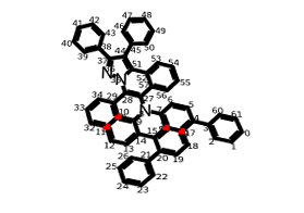 c1ccc(-c2ccc(N(c3ccccc3-c3ccccc3-c3ccccc3)c3c(-c4ccccc4)n4nc(-c5ccccc5)c(-c5ccccc5)c4c4ccccc34)cc2)cc1